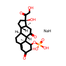 C[C@]12CC(=O)[C@H]3[C@@H](CCC4=CC(=O)CC(OP(=O)(O)O)[C@@]43C)[C@@H]1CC[C@]2(O)C(=O)CO.[NaH]